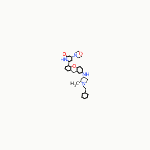 CC1CC(Nc2ccc3c(c2)Cc2cccc(-c4cc(N5CCOCC5)cc(=O)[nH]4)c2O3)CCN1CCc1ccccc1